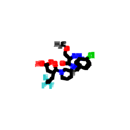 COCC(N)C(=O)N[C@@]1(Cc2ccc(Cl)cc2)CCCN(C(=O)C(CC(=O)O)CC(F)(F)F)C1